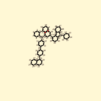 c1ccc(-c2ccccc2N(c2ccc(-c3ccc(-c4cccc5ccccc45)cc3)cc2)c2cccc(-c3cccc4c3c3ccccc3n4-c3ccccc3)c2)cc1